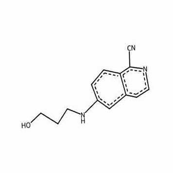 N#Cc1nccc2cc(NCCCO)ccc12